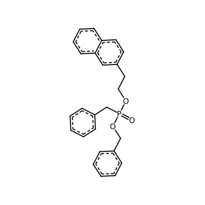 O=P(Cc1ccccc1)(OCCc1ccc2ccccc2c1)OCc1ccccc1